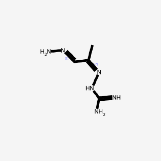 CC(/C=N/N)=N/NC(=N)N